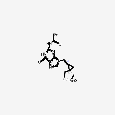 CC(=O)OC[C@@]1(CO)C/C1=C/n1cnc2c(=O)[nH]c(NC(=O)C(C)C)nc21